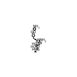 Nc1ccc(OC(=O)N2CCC(CC#Cc3nc(N)c4ncn([C@@H]5O[C@H](C(=O)NC6CC6)C(O)[C@@H]5O)c4n3)CC2)cc1